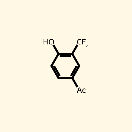 CC(=O)c1ccc(O)c(C(F)(F)F)c1